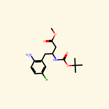 COC(=O)CC(Cc1cc(Br)ccc1N)NC(=O)OC(C)(C)C